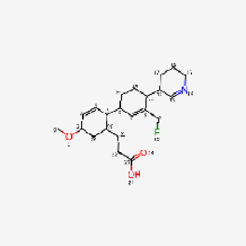 COC1C=CC(C2C=C(CF)C(C3C=NCCC3)CC2)C(CCC(=O)O)C1